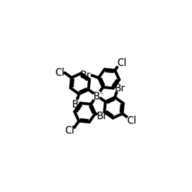 Clc1ccc([B-](c2ccc(Cl)cc2Br)(c2ccc(Cl)cc2Br)c2ccc(Cl)cc2Br)c(Br)c1